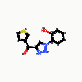 O=C(c1ccsc1)c1cn(-c2ccccc2O)nn1